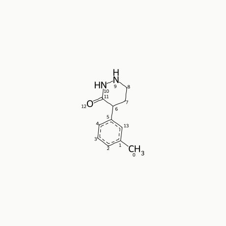 Cc1cccc(C2CCNNC2=O)c1